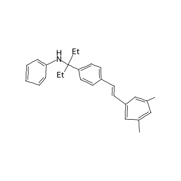 CCC(CC)(Nc1ccccc1)c1ccc(C=Cc2cc(C)cc(C)c2)cc1